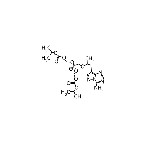 CC(C)OC(=O)OCOP(=O)(COC(C)Cc1cnn2c(N)ncnc12)OCOC(=O)OC(C)C